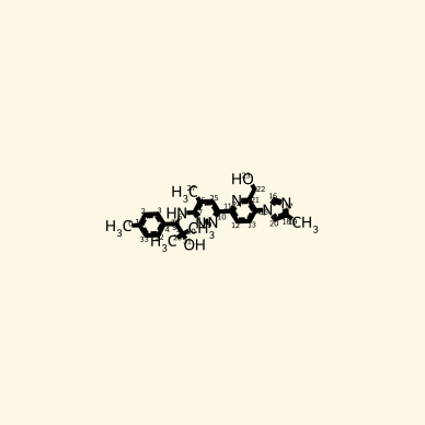 Cc1ccc([C@@H](Nc2nnc(-c3ccc(-n4cnc(C)c4)c(CO)n3)cc2C)C(C)(C)O)cc1